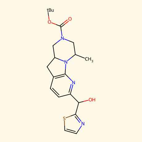 CC1CN(C(=O)OC(C)(C)C)CC2Cc3ccc(C(O)c4nccs4)nc3N12